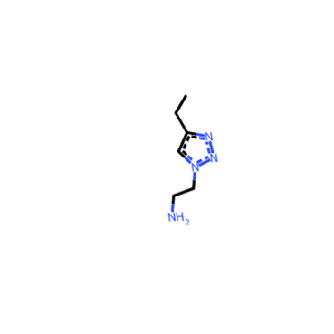 CCc1cn(CCN)nn1